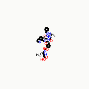 CC(CCC(=O)O)CNC(=O)Oc1ccc(C[C@H]2C(=O)N(Cc3cccc4cccnc34)[C@@H](C)C3N2C(=O)CN(C)N3C(=O)NCc2ccccc2)cc1